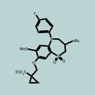 CCCCC1CN(c2ccc(F)cc2)c2cc(SC)c(OCC3(C(=O)OCC)CC3)cc2S(=O)(=O)C1